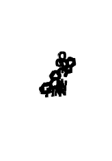 COC(=O)c1cccc2cc(C)n(Cc3ccc(-c4ccccc4-c4nnn[nH]4)cc3)c12